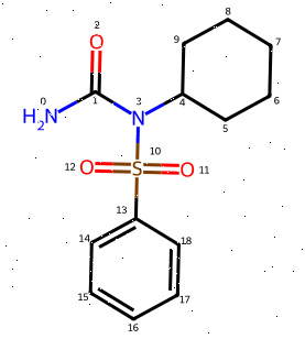 NC(=O)N(C1CCCCC1)S(=O)(=O)c1ccccc1